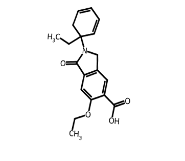 CCOc1cc2c(cc1C(=O)O)CN(C1(CC)C=CC=CC1)C2=O